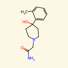 Cc1ccccc1C1(O)CCN(CC(N)=O)CC1